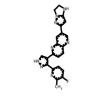 Cc1nc(-c2n[nH]cc2-c2ccc3ncc(-c4cc5n(n4)CCN5)cc3n2)ccc1F